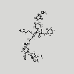 CCC[C@H]1/C(=[N+](/C(=O)NCc2ccccc2)c2ccc(-c3cnn(C)c3)cn2)C1CCCNc1ncc(C#N)c(-c2cc(C)n(C)n2)n1